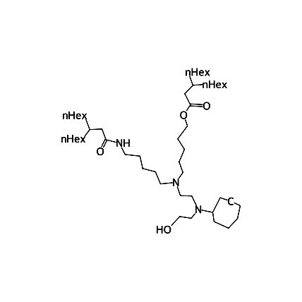 CCCCCCC(CCCCCC)CC(=O)NCCCCCN(CCCCCOC(=O)CC(CCCCCC)CCCCCC)CCN(CCO)C1CCCCCC1